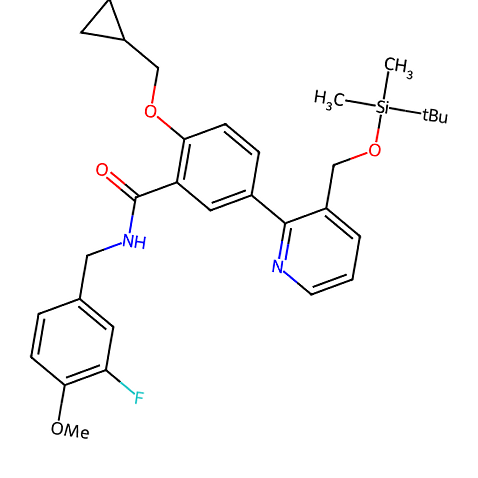 COc1ccc(CNC(=O)c2cc(-c3ncccc3CO[Si](C)(C)C(C)(C)C)ccc2OCC2CC2)cc1F